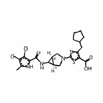 Cc1[nH]c(C(=O)NC2[C@H]3CN(c4nc(CC5CCCC5)c(C(=O)O)s4)C[C@@H]23)c(Cl)c1Cl